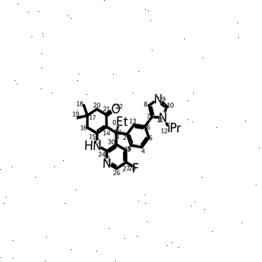 CC[C@]1(c2cccc(-c3cncn3C(C)C)c2)C2=C(CC(C)(C)CC2=O)Nc2ncc(F)cc21